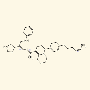 C/C(=C\C=C(/CNC1=CC=CCC1)C1CCNC1)C1=C2CCCCC2C(C2=CC=C(CCC/C=C\N)CC2)CC1